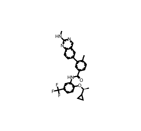 CNc1ncc2cc(-c3cc(C(=O)Nc4cc(C(F)(F)F)ccc4O[C@@H](C)C4CC4)ccc3C)ccc2n1